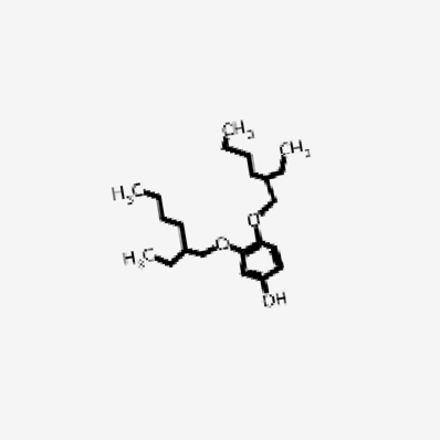 CCCCC(CC)COc1ccc(O)cc1OCC(CC)CCCC